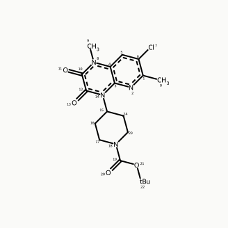 Cc1nc2c(cc1Cl)n(C)c(=O)c(=O)n2C1CCN(C(=O)OC(C)(C)C)CC1